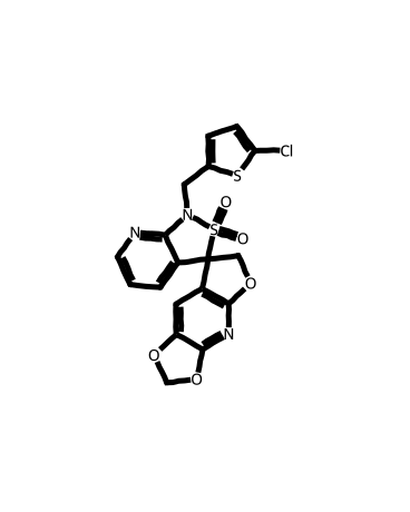 O=S1(=O)N(Cc2ccc(Cl)s2)c2ncccc2C12COc1nc3c(cc12)OCO3